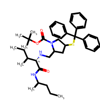 CCCC(C)NC(=O)[C@@H](NCC1CC(SC(c2ccccc2)(c2ccccc2)c2ccccc2)CN1C(=O)OC(C)(C)C)C(C)CC